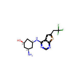 N[C@H]1C[C@@H](O)C[C@@H](Nc2ncnc3sc(CC(F)(F)F)cc23)C1